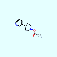 O=C(ON1CCC(c2cccnc2)CC1)C(F)(F)F